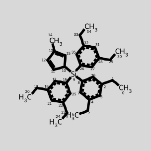 CCc1cc(CC)cc([Si]([C]2C=CC(C)=C2)(c2cc(CC)cc(CC)c2)c2cc(CC)cc(CC)c2)c1